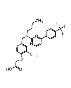 CCCCN(Cc1ccc(OCC(=O)O)c(C)c1)c1nccc(-c2ccc(C(F)(F)F)cc2)n1